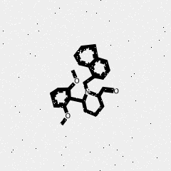 COc1cccc(OC)c1C1CCCC(C=O)N1Cc1cccc2ccccc12